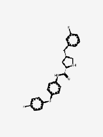 O=C(Nc1ccc(Oc2ccc(F)cc2)cc1)[C@@H]1C[C@@H](Cc2cccc(F)c2)CN1